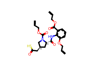 C=CCOC(=O)c1cccc(OCC=C)c1NC(=O)[C@@H]1C[C@@H](CC(=O)S)CN1C(=O)OCC=C